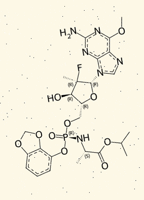 COc1nc(N)nc2c1ncn2[C@@H]1O[C@H](CO[P@](=O)(N[C@@H](C)C(=O)OC(C)C)Oc2cccc3c2OCO3)[C@@H](O)[C@@]1(C)F